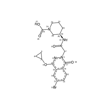 O=C(Cn1nc(OC2CC2)c2cc(Br)ccc2c1=O)N[C@@H]1CCCN(C(=O)O)C1